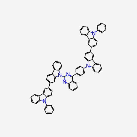 c1ccc(-n2c3ccccc3c3cc(-c4ccc5c(c4)c4ccccc4n5-c4ccc(-c5nc(-n6c7ccccc7c7ccc(-c8ccc9c(c8)c8ccccc8n9-c8ccccc8)cc76)nc6ccccc56)cc4)ccc32)cc1